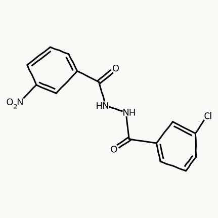 O=C(NNC(=O)c1cccc([N+](=O)[O-])c1)c1cccc(Cl)c1